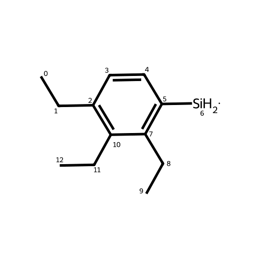 CCc1ccc([SiH2])c(CC)c1CC